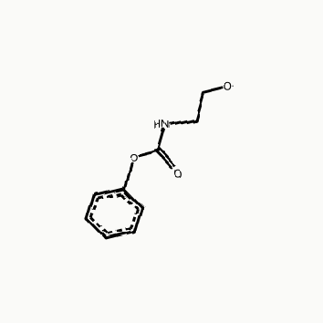 [O]CCNC(=O)Oc1ccccc1